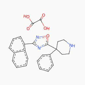 O=C(O)C(=O)O.c1ccc(C2(c3nc(-c4cccc5ccccc45)no3)CCNCC2)cc1